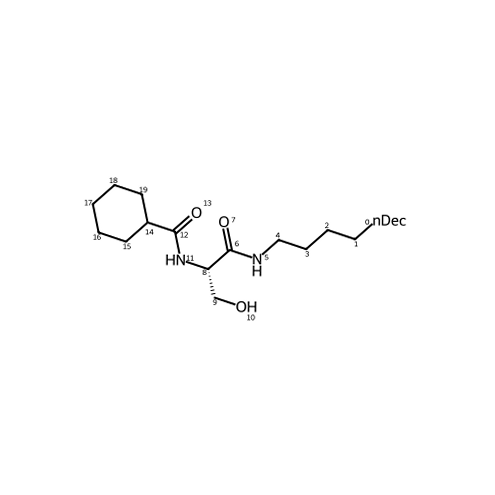 CCCCCCCCCCCCCCNC(=O)[C@H](CO)NC(=O)C1CCCCC1